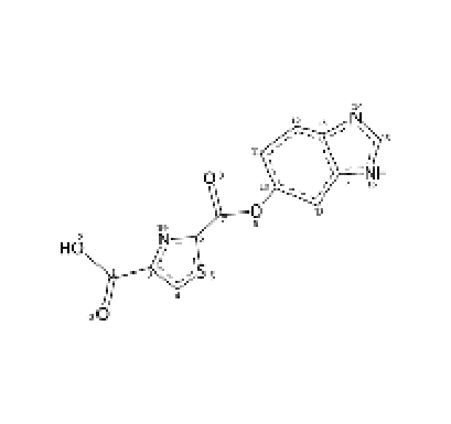 O=C(O)c1csc(C(=O)Oc2ccc3nc[nH]c3c2)n1